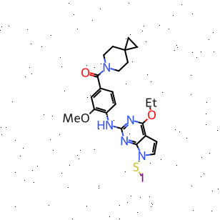 CCOc1nc(Nc2ccc(C(=O)N3CCC4(CC3)CC4)cc2OC)nc2c1ccn2SI